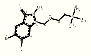 Cn1c(=O)c2cc(Br)c(Cl)cc2n1COCC[Si](C)(C)C